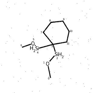 CO[SiH2]C1([SiH2]OC)CCCCC1